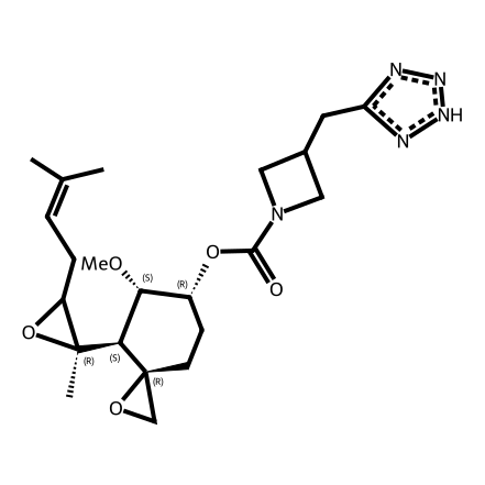 CO[C@@H]1[C@H](OC(=O)N2CC(Cc3nn[nH]n3)C2)CC[C@]2(CO2)[C@H]1[C@@]1(C)OC1CC=C(C)C